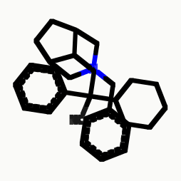 N#CC(CC1C2CCC1CN(Cc1ccccc1)C2)(c1ccccc1)C1CCCCC1